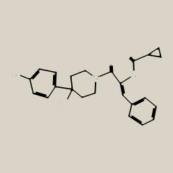 O=C(N/C(=C\c1ccccc1)C(=O)N1CCC(O)(c2ccc(Br)cc2)CC1)C1CC1